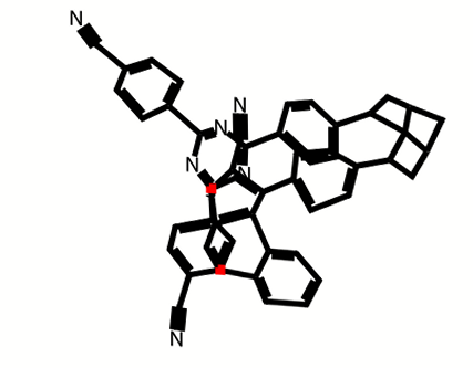 N#Cc1ccc(-c2nc(-c3ccc(C#N)cc3)nc(-c3ccc(C4CC5CC6CC(c7ccc(-c8c(C#N)sc9ccc%10ccccc%10c89)cc7)C564)cc3)n2)cc1